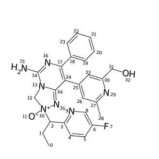 CCC(c1ccc(F)cn1)[N+]1([O-])CN2C(N)=NC(c3ccccc3)=C(c3cc(C)nc(CO)c3)C2=N1